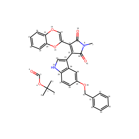 CC(C)(C)OC=O.CN1C(=O)C(C2=COc3ccccc3O2)=C(c2c[nH]c3ccc(OCc4ccccc4)cc23)C1=O